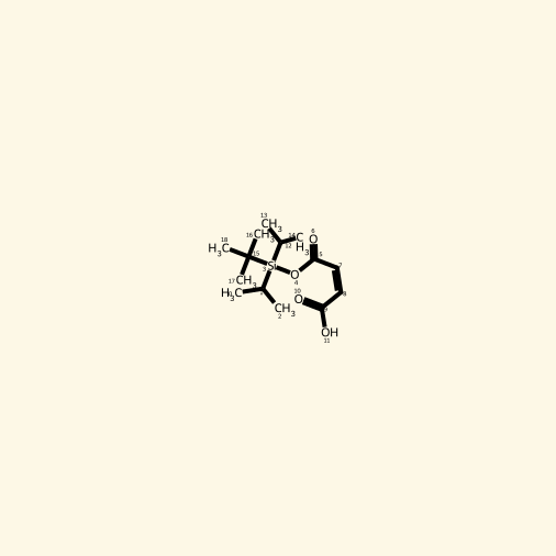 CC(C)[Si](OC(=O)/C=C\C(=O)O)(C(C)C)C(C)(C)C